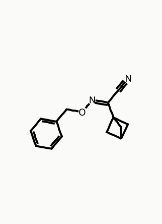 N#C/C(=N/OCc1ccccc1)C12CC(C1)C2